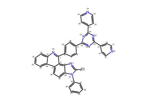 CCc1nc2c3c(-c4ccc(-c5nc(-c6ccncc6)nc(-c6ccncc6)n5)cc4)nc4ccccc4c3ccc2n1-c1ccccc1